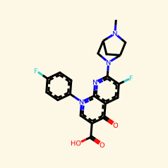 CN1CC2CC1CN2c1nc2c(cc1F)c(=O)c(C(=O)O)cn2-c1ccc(F)cc1